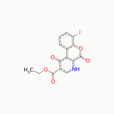 CCOC(=O)c1c[nH]c2c(=O)oc3c(F)cccc3c2c1=O